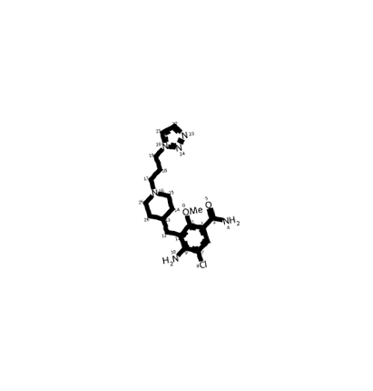 COc1c(C(N)=O)cc(Cl)c(N)c1CC1CCN(CCCn2ccnn2)CC1